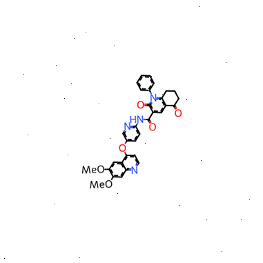 COc1cc2nccc(Oc3ccc(NC(=O)c4cc5c(n(-c6ccccc6)c4=O)CCCC5=O)nc3)c2cc1OC